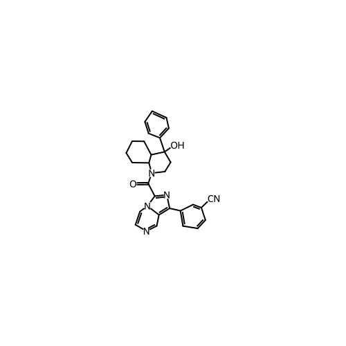 N#Cc1cccc(-c2nc(C(=O)N3CCC(O)(c4ccccc4)C4CCCCC43)n3ccncc23)c1